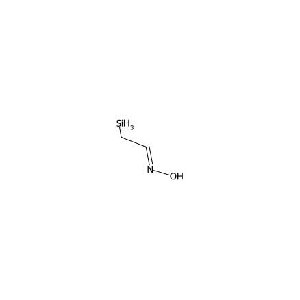 ON=CC[SiH3]